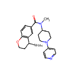 CC(=O)NC1CCOc2ccc(C(=O)N(C)C3CCN(c4ccncc4)CC3)cc21